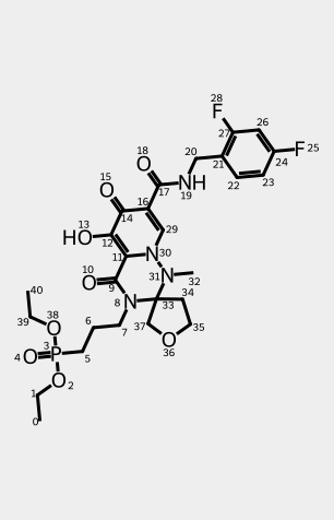 CCOP(=O)(CCCN1C(=O)c2c(O)c(=O)c(C(=O)NCc3ccc(F)cc3F)cn2N(C)C12CCOC2)OCC